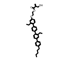 C=C(CO)C(=O)OCCOc1ccc(-c2ccc(-c3ccc(-c4ccc(CCCCC)cc4)cc3CC)cc2)c(CC)c1